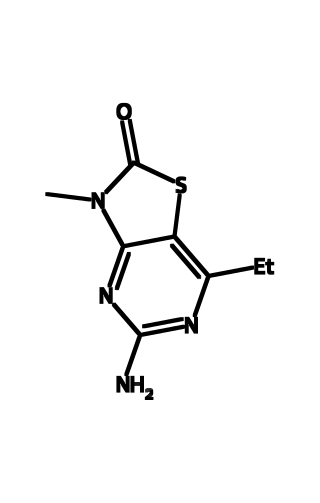 CCc1nc(N)nc2c1sc(=O)n2C